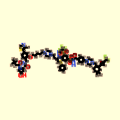 Cc1ncsc1-c1ccc(CNC(=O)[C@@H]2C[C@@H](O)CN2C(=O)CC(C)(C)C)c(OCCCCCN2CCN(CC[C@H](CSc3ccccc3)Nc3ccc(S(=O)(=O)NC(=O)c4ccc(N5CCN(CC6=C(C78CC(C(F)F)(C7)C8)CC(C)(C)CC6)CC5)cc4)cc3S(=O)(=O)C(F)(F)F)CC2)c1